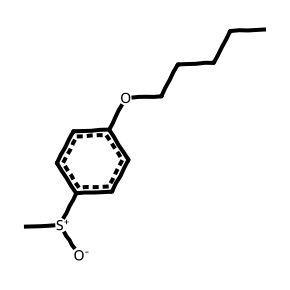 CCCCCOc1ccc([S+](C)[O-])cc1